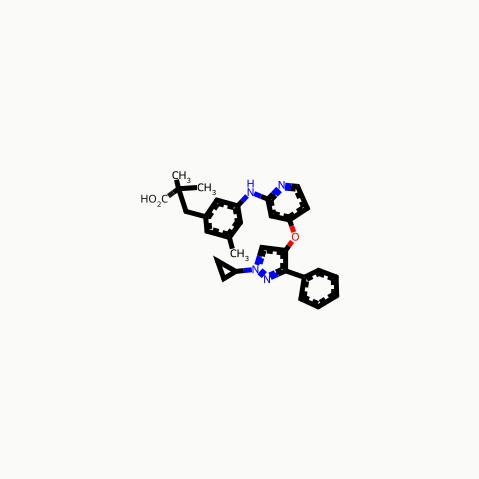 Cc1cc(CC(C)(C)C(=O)O)cc(Nc2cc(Oc3cn(C4CC4)nc3-c3ccccc3)ccn2)c1